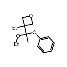 CCOC(C)(Oc1ccccc1)C1(CC)COC1